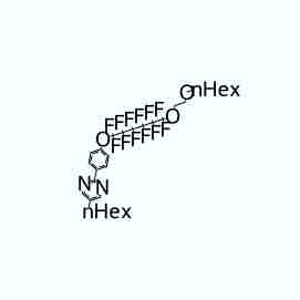 CCCCCCOCCOC(F)(F)C(F)(F)C(F)(F)C(F)(F)C(F)(F)C(F)(F)Oc1ccc(-c2ncc(CCCCCC)cn2)cc1